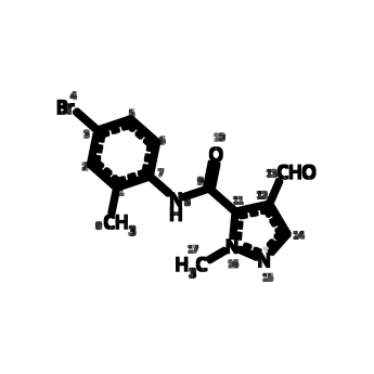 Cc1cc(Br)ccc1NC(=O)c1c(C=O)cnn1C